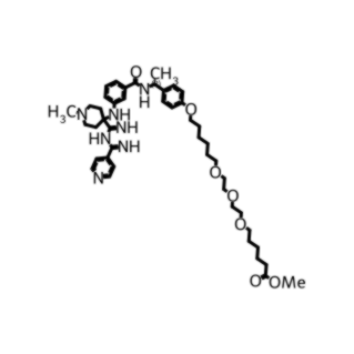 COC(=O)CCCCCOCCOCCOCCCCCCOc1ccc([C@@H](C)NC(=O)c2cccc(NC3(C(=N)NC(=N)c4ccncc4)CCN(C)CC3)c2)cc1